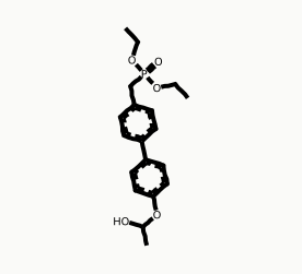 CCOP(=O)(Cc1ccc(-c2ccc(OC(C)O)cc2)cc1)OCC